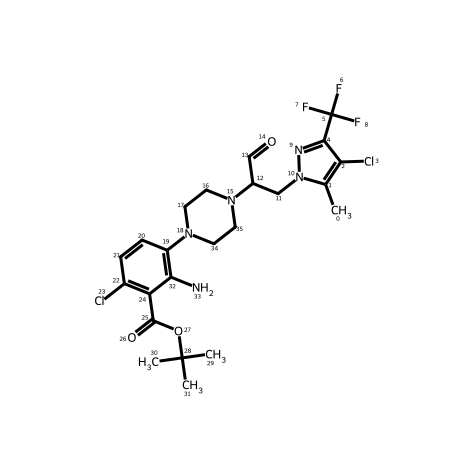 Cc1c(Cl)c(C(F)(F)F)nn1CC(C=O)N1CCN(c2ccc(Cl)c(C(=O)OC(C)(C)C)c2N)CC1